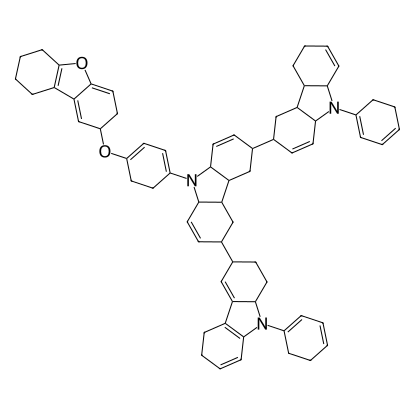 C1=CCCC(N2C3=C(CCC=C3)C3=CC(C4C=CC5C(C4)C4CC(C6C=CC7C(C6)C6CCC=CC6N7C6=CC=CCC6)C=CC4N5C4=CC=C(OC5C=c6c7c(oc6=CC5)CCCC7)CC4)CCC32)=C1